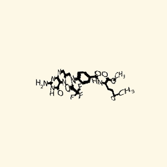 COC(=O)C(CCC(C)=O)NC(=O)c1ccc(N(Cc2cnc3nc(N)[nH]c(=O)c3n2)C(=O)C(F)(F)F)cc1